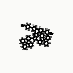 Brc1ccc(-c2ccc3c4ccc(-c5ccc(Br)cc5)cc4c4nc5c(-c6cccc7c6-c6ccccc6C7(c6ccccc6)c6ccccc6)sc(-c6cccc7c6-c6ccccc6C7(c6ccccc6)c6ccccc6)c5nc4c3c2)cc1